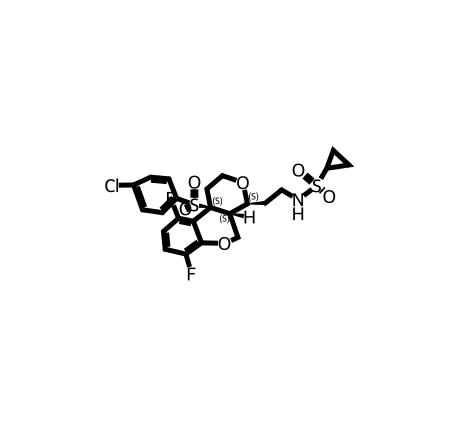 O=S(=O)(NCC[C@@H]1OCC[C@@]2(S(=O)(=O)c3ccc(Cl)cc3)c3c(F)ccc(F)c3OC[C@@H]12)C1CC1